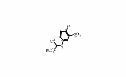 CCOC(=O)C(CC)Oc1ccc(F)c([N+](=O)[O-])c1